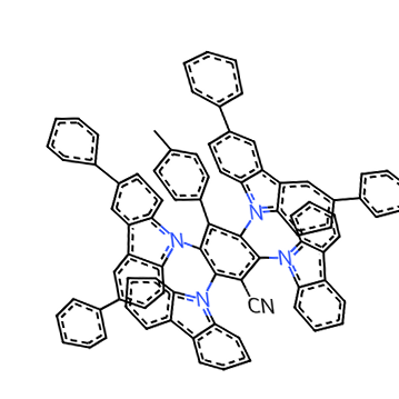 Cc1ccc(-c2c(-n3c4ccc(-c5ccccc5)cc4c4cc(-c5ccccc5)ccc43)c(-n3c4ccccc4c4ccccc43)c(C#N)c(-n3c4ccccc4c4ccccc43)c2-n2c3ccc(-c4ccccc4)cc3c3cc(-c4ccccc4)ccc32)cc1